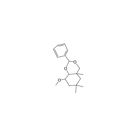 COC1CC(C)(C)CC2(C)COC(c3ccccc3)OC12